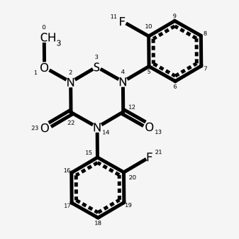 CON1SN(c2ccccc2F)C(=O)N(c2ccccc2F)C1=O